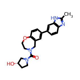 Cc1nc2ccc(-c3ccc4c(c3)CN(C(=O)N3CC[C@H](O)C3)CCO4)cc2[nH]1